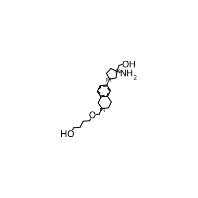 N[C@]1(CO)CC[C@H](c2ccc3c(c2)CC[C@@H](COCCCCO)C3)C1